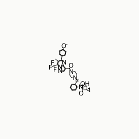 COc1ccc(-c2nc3c(C(=O)N4CCN([C@H](CO)c5ccccc5NC(=O)C5CC5)CC4)cnn3c(C(F)(F)F)c2C)cc1